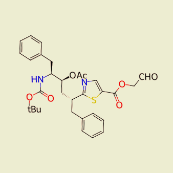 CC(=O)O[C@@H](C[C@@H](Cc1ccccc1)c1ncc(C(=O)OCC=O)s1)[C@H](Cc1ccccc1)NC(=O)OC(C)(C)C